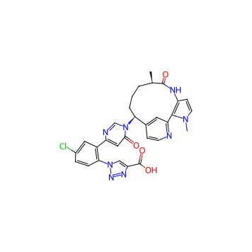 C[C@@H]1CCC[C@H](n2cnc(-c3cc(Cl)ccc3-n3cc(C(=O)O)nn3)cc2=O)c2ccnc(c2)-c2c(ccn2C)NC1=O